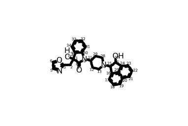 CC1(Cc2ncco2)C(=O)N(C2CCN(C3c4cccc5cccc(c45)C3O)CC2)c2ccccc21